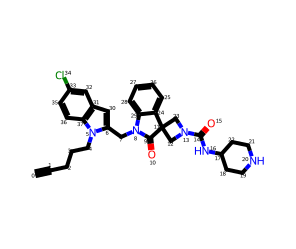 C#CCCCn1c(CN2C(=O)C3(CN(C(=O)NC4CCNCC4)C3)c3ccccc32)cc2cc(Cl)ccc21